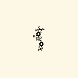 CCC1Oc2cc(S(=O)(=O)NCc3ccc(OC(F)(F)F)cc3)c(Br)cc2NC1=O